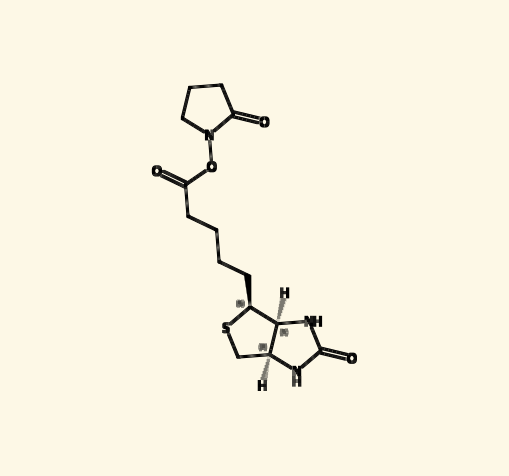 O=C1N[C@H]2[C@H](CS[C@H]2CCCCC(=O)ON2CCCC2=O)N1